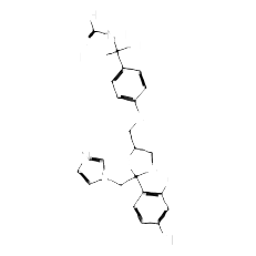 CC(C)(NC(=O)O)c1ccc(SCC2COC(Cn3ccnc3)(c3ccc(Cl)cc3Cl)O2)cc1